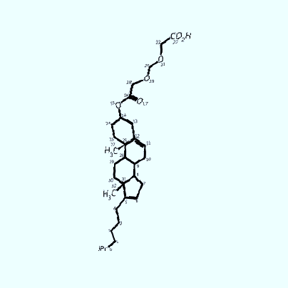 CC(C)CCCCC1CCC2C3CC=C4CC(OC(=O)COCOCC(=O)O)CC[C@@]4(C)C3CCC12C